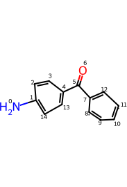 Nc1ccc(C(=O)c2[c]cc[c]c2)cc1